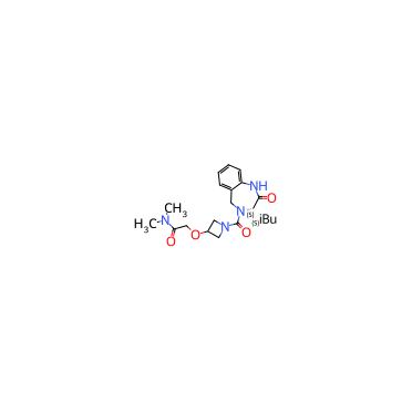 CC[C@H](C)[C@H]1C(=O)Nc2ccccc2CN1C(=O)N1CC(OCC(=O)N(C)C)C1